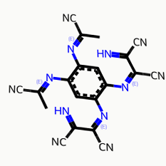 C/C(C#N)=N\c1cc(/N=C(/C#N)C(=N)C#N)c(/N=C(/C#N)C(=N)C#N)cc1/N=C(\C)C#N